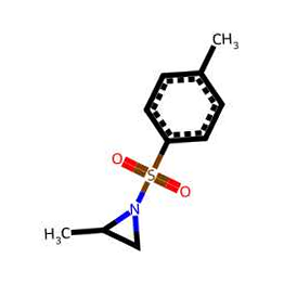 Cc1ccc(S(=O)(=O)N2CC2C)cc1